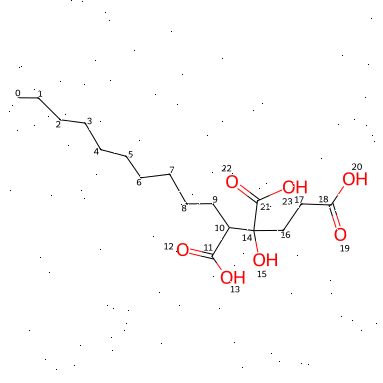 CCCCCCCCCCC(C(=O)O)C(O)(CCC(=O)O)C(=O)O